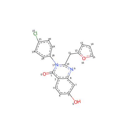 O=c1c2ccc(O)cc2nc(Cc2ccco2)n1-c1ccc(Cl)cc1